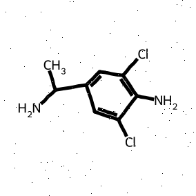 CC(N)c1cc(Cl)c(N)c(Cl)c1